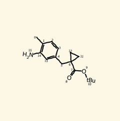 Cc1ccc(CC2(C(=O)OC(C)(C)C)CC2)cc1N